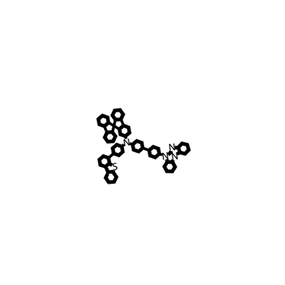 c1ccc2c(c1)-c1ccccc1C21c2ccccc2-c2ccc(N(c3ccc(-c4ccc(-n5c6ccccc6n6c7ccccc7nc56)cc4)cc3)c3ccc(-c4cccc5c4sc4ccccc45)cc3)cc21